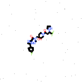 O=C(CC(C(F)F)n1cccn1)N1CCC(O)(Cn2cnn3c(-c4ccc(F)cc4)cnc3c2=O)CC1